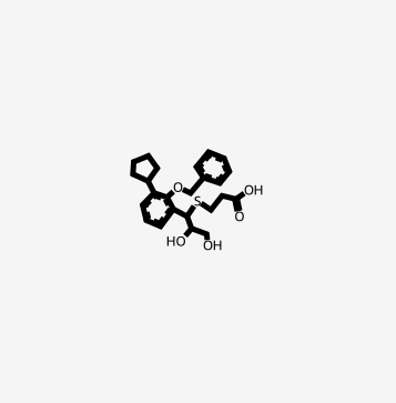 O=C(O)CCSC(c1cccc(C2CCCC2)c1OCc1ccccc1)C(O)CO